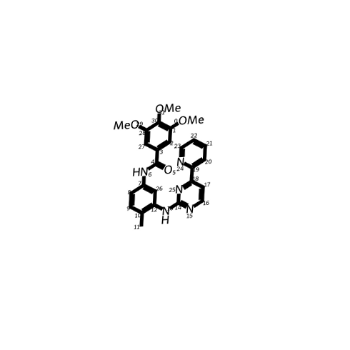 COc1cc(C(=O)Nc2ccc(C)c(Nc3nccc(-c4ccccn4)n3)c2)cc(OC)c1OC